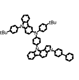 CC(C)(C)c1ccc(N(c2ccc(-n3c4ccccc4c4ccc5c(ccn5-c5ccc(-c6ccccc6)cc5)c43)cc2)c2ccc3c(c2)c2ccccc2n3-c2ccc(C(C)(C)C)cc2)cc1